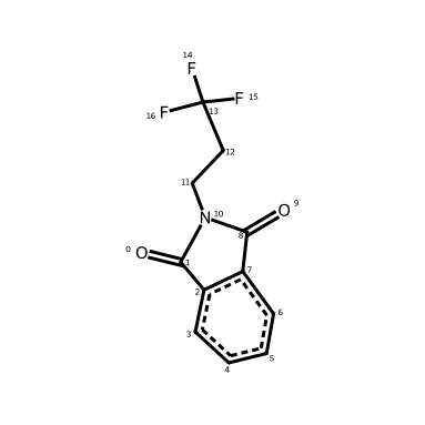 O=C1c2ccccc2C(=O)N1CCC(F)(F)F